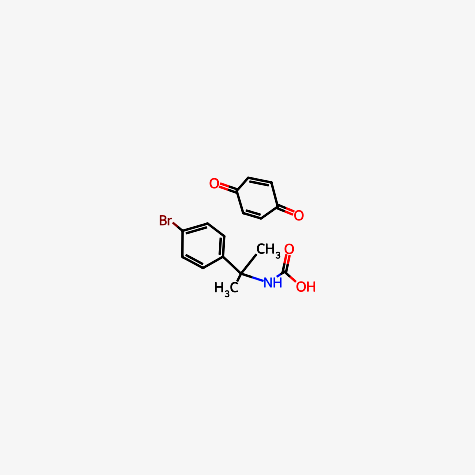 CC(C)(NC(=O)O)c1ccc(Br)cc1.O=C1C=CC(=O)C=C1